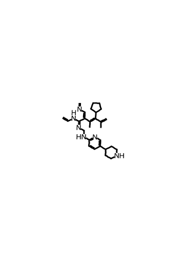 C=CNC(=N/CNc1ccc(C2CCNCC2)cn1)/C(=C\N=C)C(/C)=C(/C(=C)C)C1CCCC1